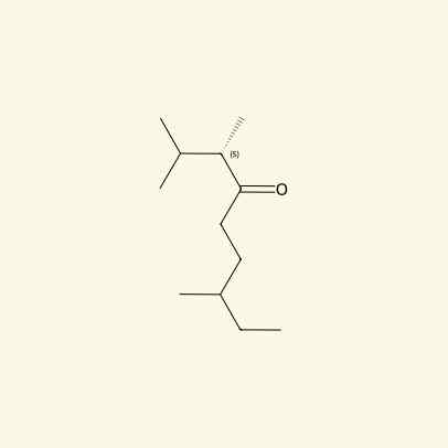 CCC(C)CCC(=O)[C@@H](C)C(C)C